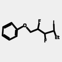 CCC(I)C(F)C(F)COc1ccccc1